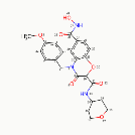 COc1ccc(CN2C(=O)C(C(=O)NC3CCOCC3)Oc3ccc(C(=O)NO)cc32)cc1